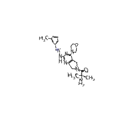 Cc1cccc(/C=N/Nc2nc3c(c(N4CCOCC4)n2)CN(C(=O)C(C)(C)N)C3)c1